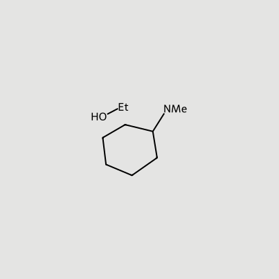 CCO.CNC1CCCCC1